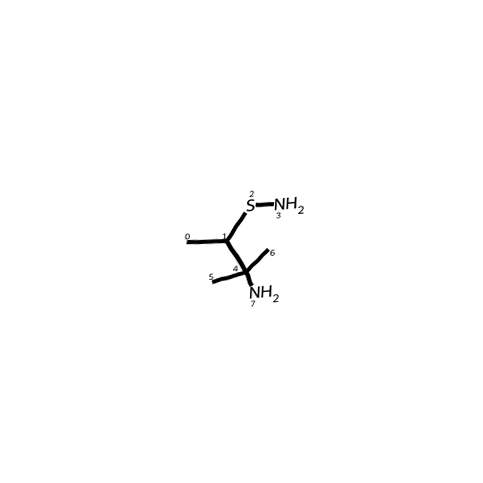 CC(SN)C(C)(C)N